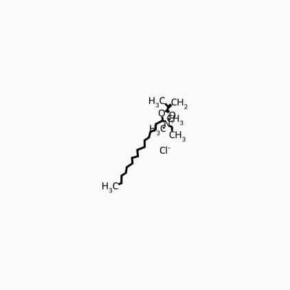 C=C(C)C(=O)OC(CCCCCCCCCCCCCCC)[N+](C)(C)CC.[Cl-]